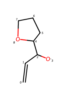 C=CC([O])C1CCCO1